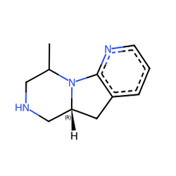 CC1CNC[C@H]2Cc3cccnc3N12